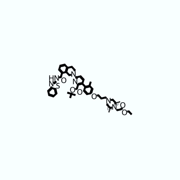 CCOC(=O)CN1[C@H](C)CN(CCCOc2ccc(-c3ccc(N4CCc5cccc(C(=O)Nc6nc7ccccc7s6)c5C4)nc3C(=O)OC(C)(C)C)c(C)c2)C[C@@H]1C